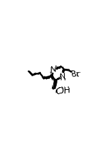 CCC/C=c1\ncc(CBr)n\c1=C/O